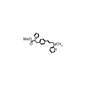 COC(=O)C(Cc1ccc(C=CCN(C)c2ccccn2)cc1)n1cccc1